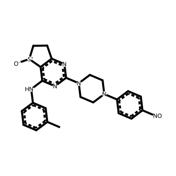 Cc1cccc(Nc2nc(N3CCN(c4ccc(N=O)cc4)CC3)nc3c2[S+]([O-])CC3)c1